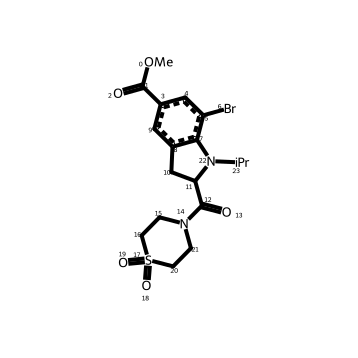 COC(=O)c1cc(Br)c2c(c1)CC(C(=O)N1CCS(=O)(=O)CC1)N2C(C)C